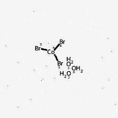 O.O.O.[Br][Co]([Br])[Br]